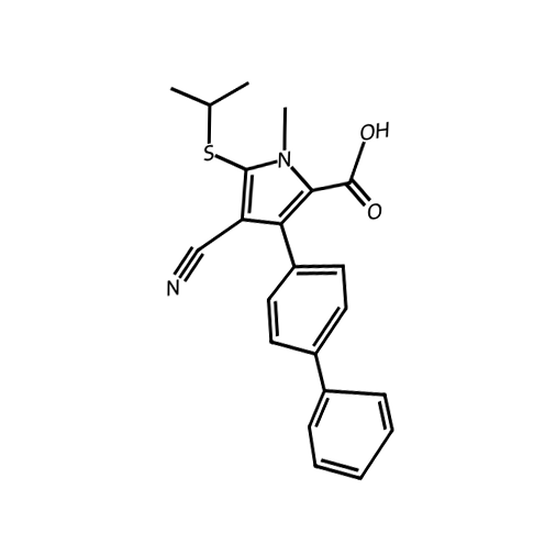 CC(C)Sc1c(C#N)c(-c2ccc(-c3ccccc3)cc2)c(C(=O)O)n1C